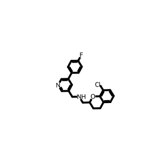 Fc1ccc(-c2cncc(CNCC3CCc4cccc(Cl)c4O3)c2)cc1